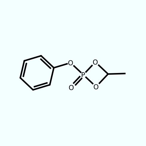 CC1OP(=O)(Oc2ccccc2)O1